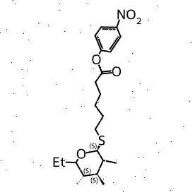 CCC1O[C@@H](SCCCCCC(=O)Oc2ccc([N+](=O)[O-])cc2)C(C)[C@@H](C)[C@@H]1C